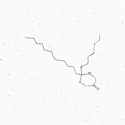 CCCCCCCCCCCC1(OCCCCCC)OCC(=O)CO1